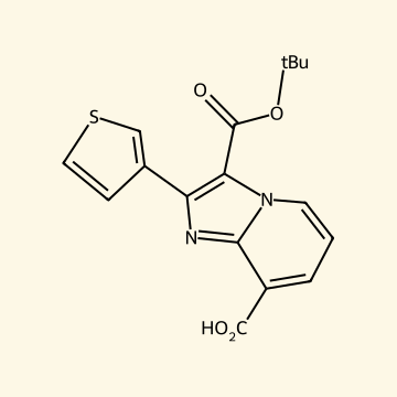 CC(C)(C)OC(=O)c1c(-c2ccsc2)nc2c(C(=O)O)cccn12